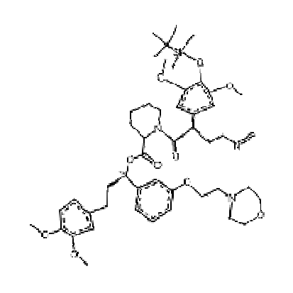 C=NCCC(C(=O)N1CCCCC1C(=O)O[C@H](CCc1ccc(OC)c(OC)c1)c1cccc(OCCN2CCOCC2)c1)c1cc(OC)c(O[Si](C)(C)C(C)(C)C)c(OC)c1